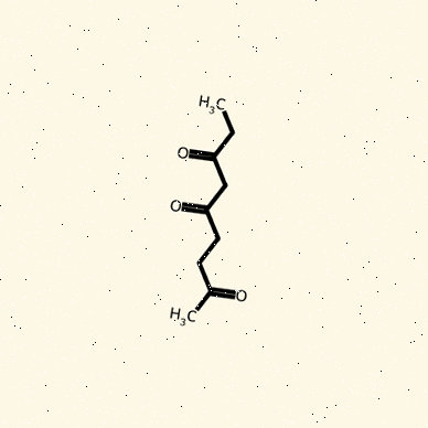 CCC(=O)CC(=O)CCC(C)=O